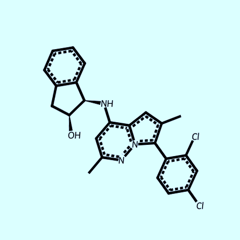 Cc1cc(N[C@@H]2c3ccccc3C[C@@H]2O)c2cc(C)c(-c3ccc(Cl)cc3Cl)n2n1